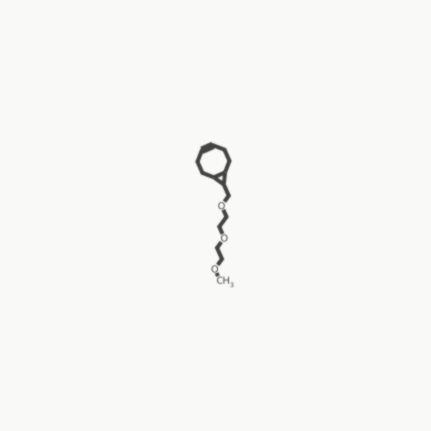 COCCOCCOCC1C2CCC#CCCC21